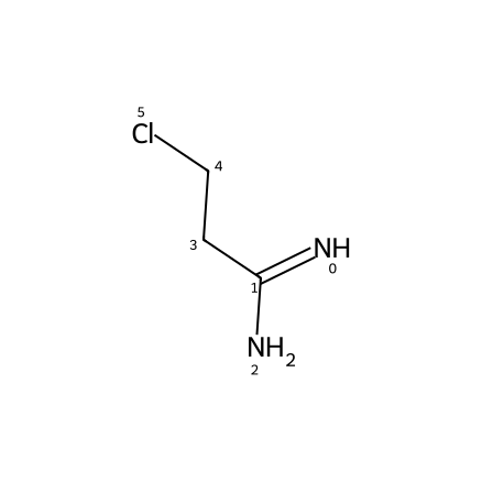 N=C(N)CCCl